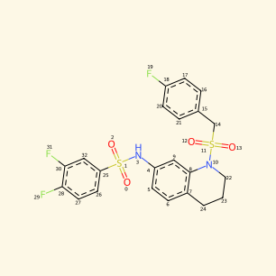 O=S(=O)(Nc1ccc2c(c1)N(S(=O)(=O)Cc1ccc(F)cc1)CCC2)c1ccc(F)c(F)c1